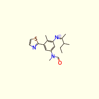 CCC(C)/C(C)=N\c1cc(N(C)C=O)cc(-c2nccs2)c1C